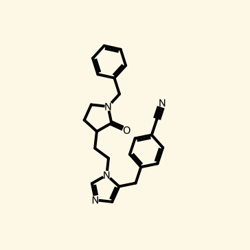 N#Cc1ccc(Cc2cncn2CCC2CCN(Cc3ccccc3)C2=O)cc1